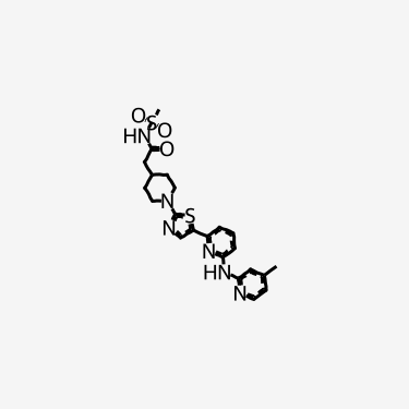 Cc1ccnc(Nc2cccc(-c3cnc(N4CCC(CC(=O)NS(C)(=O)=O)CC4)s3)n2)c1